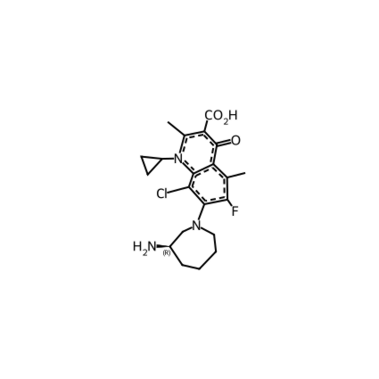 Cc1c(F)c(N2CCCC[C@@H](N)C2)c(Cl)c2c1c(=O)c(C(=O)O)c(C)n2C1CC1